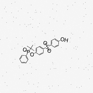 CC(C)(C)P(=O)(Oc1ccc(S(=O)(=O)c2ccc(O)cc2)cc1)c1ccccc1